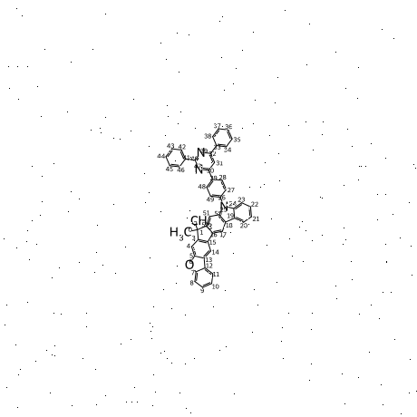 CC1(C)c2cc3oc4ccccc4c3cc2-c2cc3c4ccccc4n(-c4ccc(-c5cc(-c6ccccc6)nc(-c6ccccc6)n5)cc4)c3cc21